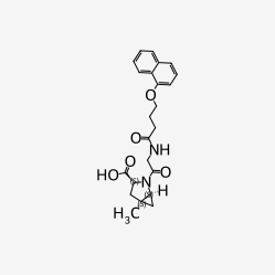 C[C@@]12C[C@@H]1N(C(=O)CNC(=O)CCCOc1cccc3ccccc13)[C@H](C(=O)O)C2